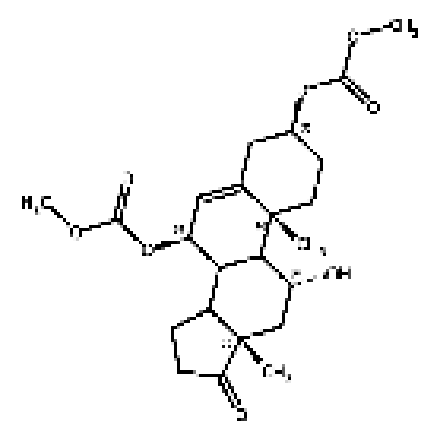 COC(=O)O[C@H]1CC[C@@]2(C)C(=C[C@H](OC(=O)OC)C3C2[C@H](O)C[C@]2(C)C(=O)CCC32)C1